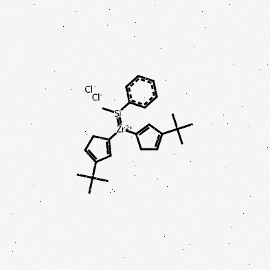 C[Si](c1ccccc1)=[Zr+2]([C]1=CC(C(C)(C)C)=CC1)[C]1=CC(C(C)(C)C)=CC1.[Cl-].[Cl-]